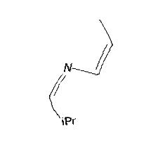 C/C=C\N=C/C(C)C